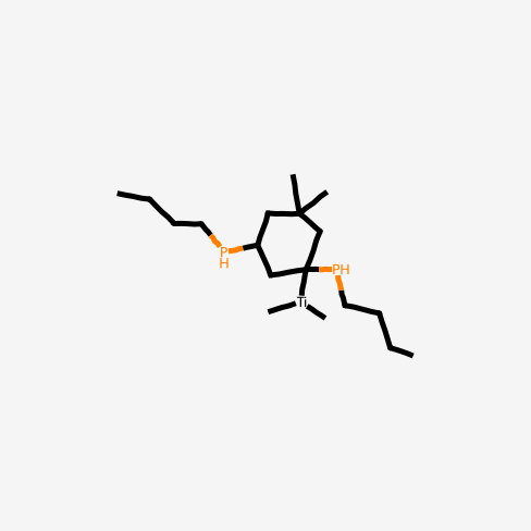 CCCCPC1CC(C)(C)C[C](PCCCC)([Ti]([CH3])[CH3])C1